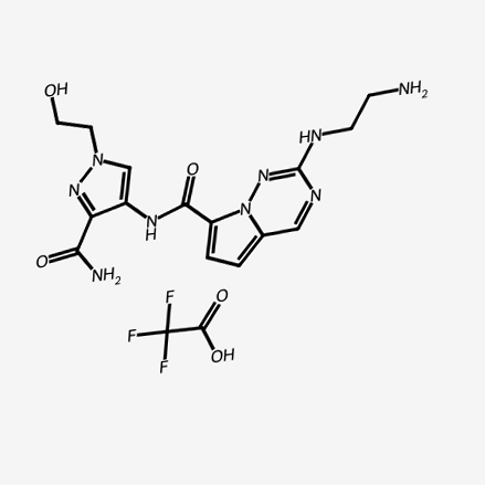 NCCNc1ncc2ccc(C(=O)Nc3cn(CCO)nc3C(N)=O)n2n1.O=C(O)C(F)(F)F